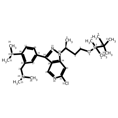 C[C@@H](CCO[Si](C)(C)C(C)(C)C)n1nc(-c2ccc(P(C)C)c(CN(C)C)c2)c2cnc(Cl)cc21